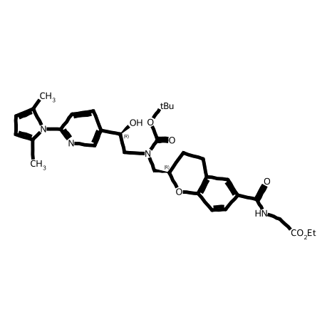 CCOC(=O)CNC(=O)c1ccc2c(c1)CC[C@H](CN(C[C@H](O)c1ccc(-n3c(C)ccc3C)nc1)C(=O)OC(C)(C)C)O2